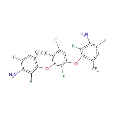 Nc1c(F)cc(C(F)(F)F)c(Oc2cc(F)c(C(F)(F)F)c(Oc3c(C(F)(F)F)cc(F)c(N)c3F)c2F)c1F